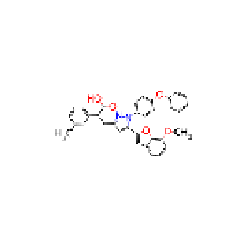 COc1cccc2cc(-c3cc(CC(C(=O)O)c4cccc(C)c4)nn3-c3ccc(Oc4ccccc4)cc3)oc12